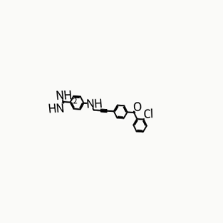 N=C(N)c1ccc(NCC#Cc2ccc(C(=O)c3ccccc3Cl)cc2)cc1